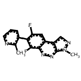 Cc1ncccc1-c1c(F)cc2c(nnc3c2cnn3C)c1F